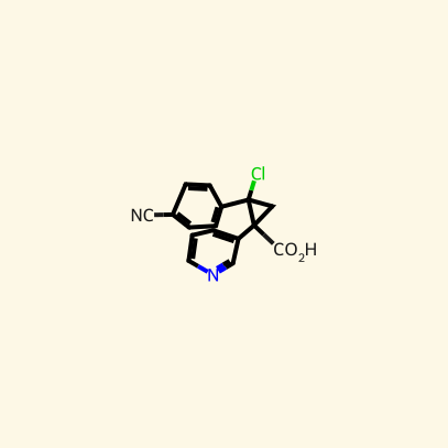 N#Cc1ccc(C2(Cl)CC2(C(=O)O)c2cccnc2)cc1